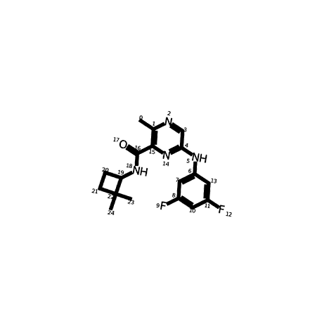 Cc1ncc(Nc2cc(F)cc(F)c2)nc1C(=O)NC1CCC1(C)C